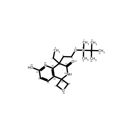 CCC1(CCO[Si](C)(C)C(C)(C)C)C(=O)NC2(COC2)c2ccc(O)nc21